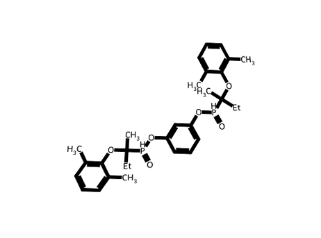 CCC(C)(Oc1c(C)cccc1C)[PH](=O)Oc1cccc(O[PH](=O)C(C)(CC)Oc2c(C)cccc2C)c1